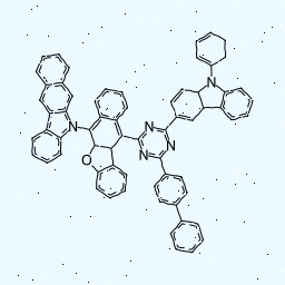 C1=CCCC(N2c3ccccc3C3C=C(c4nc(C5=c6ccccc6=C(n6c7ccccc7c7cc8ccccc8cc76)C6Oc7ccccc7C56)nc(-c5ccc(-c6ccccc6)cc5)n4)C=CC32)=C1